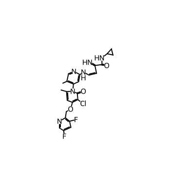 Cc1cnc(N/C=C\C(=N)C(=O)NC2CC2)cc1-n1c(C)cc(OCc2ncc(F)cc2F)c(Cl)c1=O